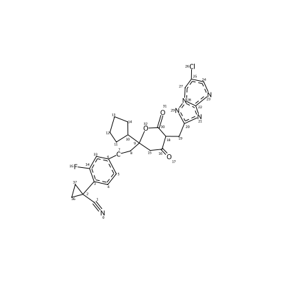 N#CC1(c2ccc(CCC3(C4CCCC4)CC(=O)C(Cc4nc5ncc(Cl)cn5n4)C(=O)O3)cc2F)CC1